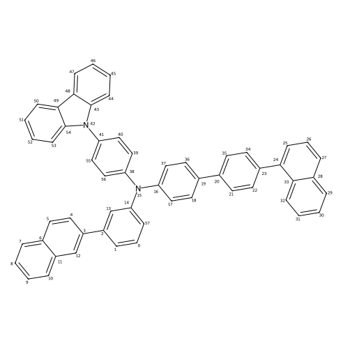 c1cc(-c2ccc3ccccc3c2)cc(N(c2ccc(-c3ccc(-c4cccc5ccccc45)cc3)cc2)c2ccc(-n3c4ccccc4c4ccccc43)cc2)c1